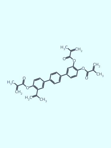 C=C(C)C(=O)Oc1ccc(-c2ccc(-c3ccc(OC(=O)C(=C)C)c(C(=C)C)c3)cc2)cc1OC(=O)C(=C)C